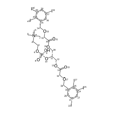 C[N+](C)(C)CCOP(=O)(O)OC(COC(=O)COCc1cc(I)cc(I)c1I)COC(=O)COCc1cc(I)cc(I)c1I